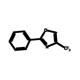 FC(F)(F)c1[c]oc(-c2ccccc2)n1